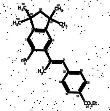 CCCc1cc2c(cc1/C(C)=C/c1ccc(C(=O)OCC)cc1)C(C)(C)CC2(C)C